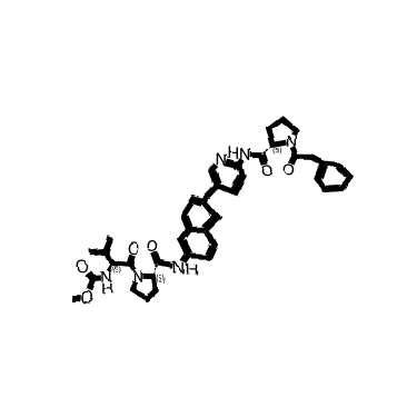 COC(=O)N[C@H](C(=O)N1CCC[C@H]1C(=O)Nc1ccc2cc(-c3ccc(NC(=O)[C@@H]4CCCN4C(=O)Cc4ccccc4)nc3)ccc2c1)C(C)C